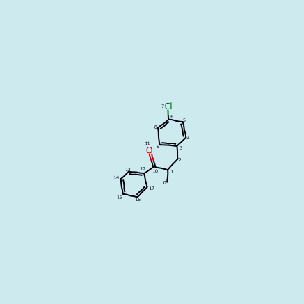 CC(Cc1ccc(Cl)cc1)C(=O)c1ccccc1